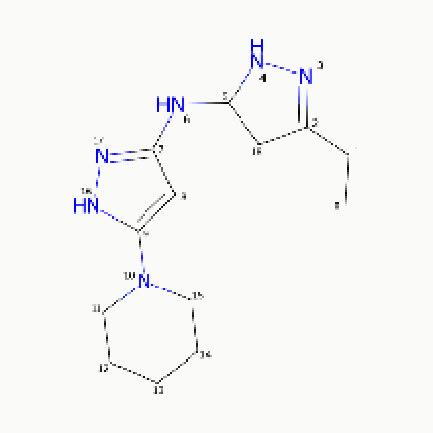 CCC1=NNC(Nc2cc(N3CCCCC3)[nH]n2)C1